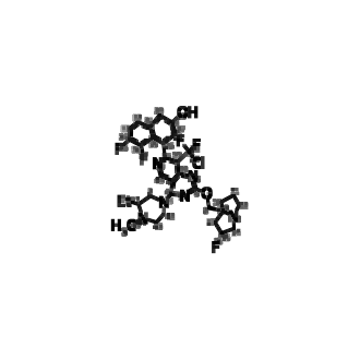 CCC1CN(c2nc(OC[C@@]34CCCN3C[C@H](F)C4)nc3c(C(F)(F)Cl)c(-c4cc(O)cc5ccc(F)c(F)c45)ncc23)CCN1C